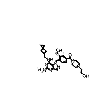 COc1cc(C(=O)N2CCN(CCO)CC2)ccc1Cn1ncc2nc(N)nc(NCC3CC4(CC4)C3)c21